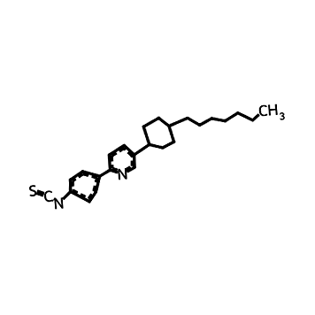 CCCCCCCC1CCC(c2ccc(-c3ccc(N=C=S)cc3)nc2)CC1